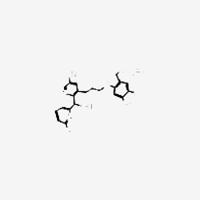 CCOC(=O)Cc1cc(F)c(Br)cc1OCCCc1cc(C#N)cnc1C(O)c1cccc(Br)n1